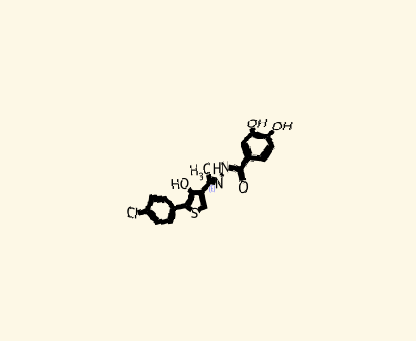 C/C(=N\NC(=O)c1ccc(O)c(O)c1)c1csc(-c2ccc(Cl)cc2)c1O